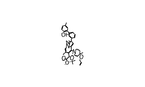 C=CCOC1(C)CCN(c2c(C(OC(C)(C)C)C(=O)OC)c(C)cn3nc(-c4cccc(-c5cc(C)ccc5O)c4)cc23)CC1